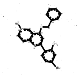 Cc1cc(C(C)(C)C)ccc1-c1cc(OCc2ccccc2)c2c[n+](O)ccc2n1